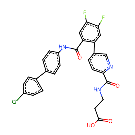 O=C(O)CCNC(=O)c1ccc(-c2cc(F)c(F)cc2C(=O)Nc2ccc(-c3ccc(Cl)cc3)cc2)cn1